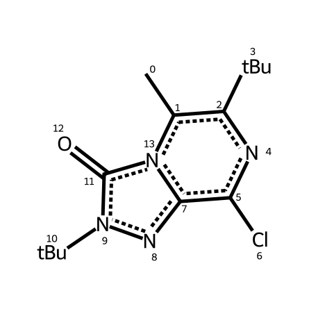 Cc1c(C(C)(C)C)nc(Cl)c2nn(C(C)(C)C)c(=O)n12